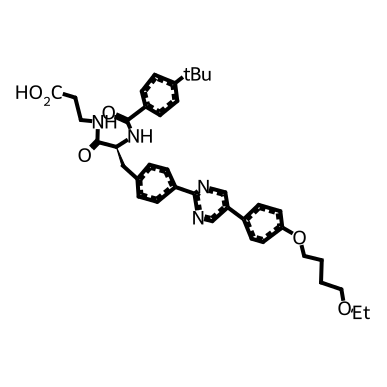 CCOCCCCOc1ccc(-c2cnc(-c3ccc(C[C@H](NC(=O)c4ccc(C(C)(C)C)cc4)C(=O)NCCC(=O)O)cc3)nc2)cc1